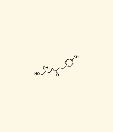 O=C(CCc1ccc(S)cc1)OCC(O)CO